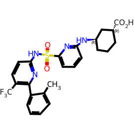 Cc1ccccc1-c1nc(NS(=O)(=O)c2cccc(N[C@@H]3CCC[C@@H](C(=O)O)C3)n2)ccc1C(F)(F)F